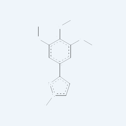 COc1cc(-c2ccn(C)n2)cc(OC)c1OC